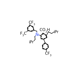 CC(C)CCN(Cc1cc(C(F)(F)F)cc(C(F)(F)F)c1)c1cc(-c2ccc(C(F)(F)F)cc2)cc(C(CC(C)C)C(=O)O)c1